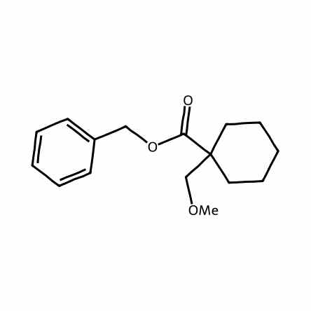 COCC1(C(=O)OCc2ccccc2)CCCCC1